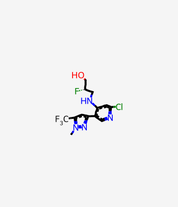 Cn1nc(-c2cnc(Cl)cc2NC[C@H](F)CO)cc1C(F)(F)F